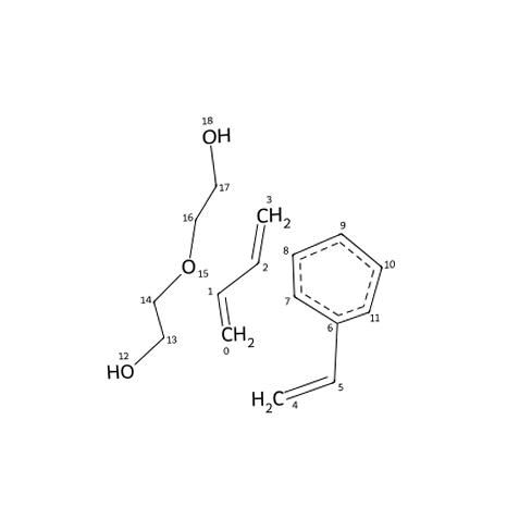 C=CC=C.C=Cc1ccccc1.OCCOCCO